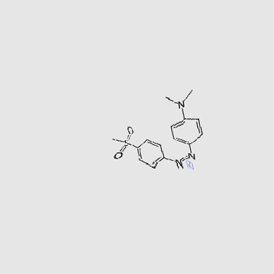 CN(C)c1ccc(/N=N\c2ccc(S(C)(=O)=O)cc2)cc1